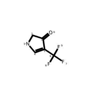 O=C1C[N][C]=C1C(F)(F)F